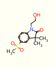 CC1(C)C(=O)N(CCO)c2ccc(S(C)(=O)=O)cc21